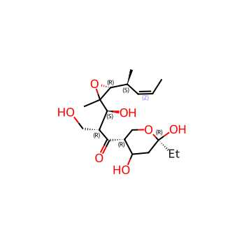 C/C=C\[C@H](C)[C@H]1OC1(C)[C@@H](O)[C@@H](CO)C(=O)[C@@H]1CO[C@](O)(CC)CC1O